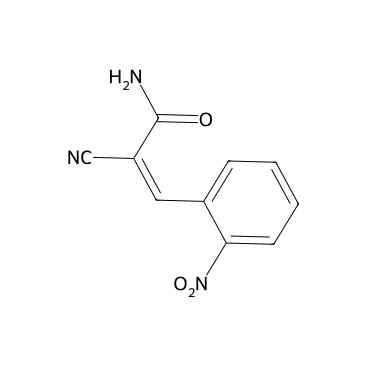 N#CC(=Cc1ccccc1[N+](=O)[O-])C(N)=O